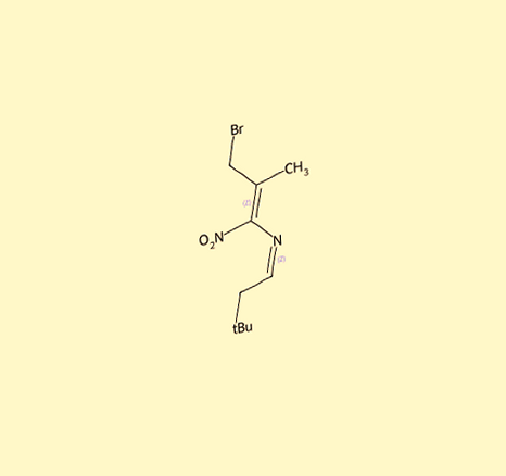 C/C(CBr)=C(\N=C/CC(C)(C)C)[N+](=O)[O-]